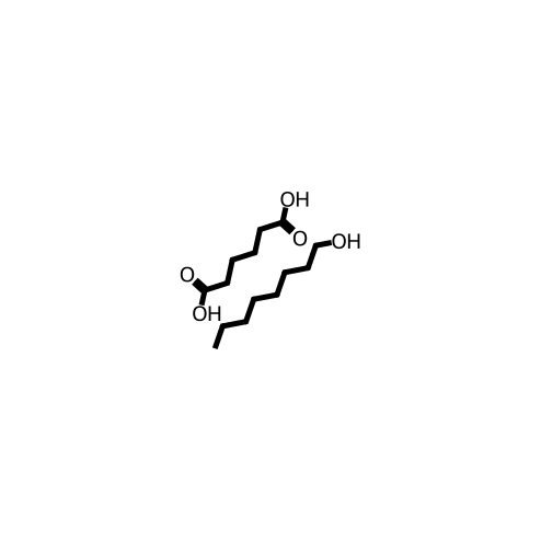 CCCCCCCCO.O=C(O)CCCCC(=O)O